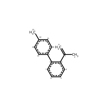 C=C(C)c1ccccc1-c1ccc(C)cc1